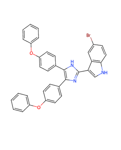 Brc1ccc2[nH]cc(-c3nc(-c4ccc(Oc5ccccc5)cc4)c(-c4ccc(Oc5ccccc5)cc4)[nH]3)c2c1